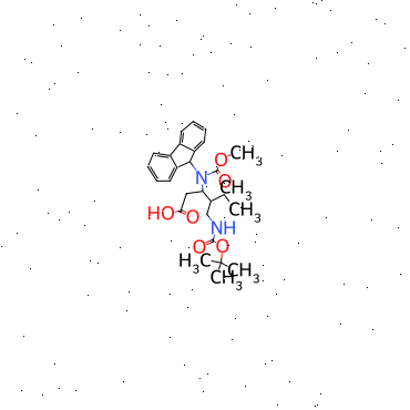 COC(=O)N(C1c2ccccc2-c2ccccc21)C(CC(=O)O)C(CNC(=O)OC(C)(C)C)C(C)C